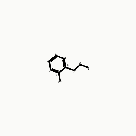 [CH2]c1ccccc1[CH]CC